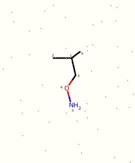 C[C](C)CON